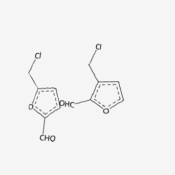 O=Cc1ccc(CCl)o1.O=Cc1occc1CCl